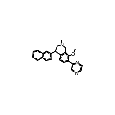 COc1c(-c2cnccn2)ccc2c1CN(C)CC2c1ccc2ccccc2c1